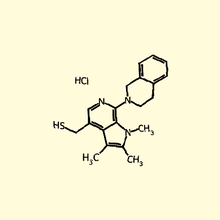 Cc1c(C)n(C)c2c(N3CCc4ccccc4C3)ncc(CS)c12.Cl